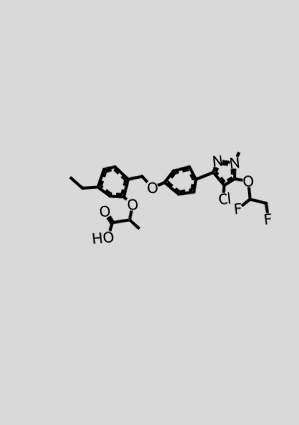 CCc1ccc(COc2ccc(-c3nn(C)c(OC(F)CF)c3Cl)cc2)c(OC(C)C(=O)O)c1